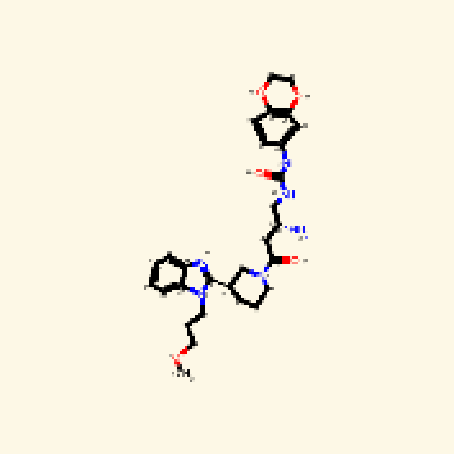 COCCCn1c([C@@H]2CCCN(C(=O)C[C@@H](N)CNC(=O)Nc3ccc4c(c3)OCCO4)C2)nc2ccccc21